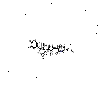 C/C(=C/N(C)C)C(=O)c1c[nH]c(C(=O)N[C@H](CO)c2ccccc2)c1